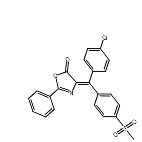 CS(=O)(=O)c1ccc(/C(=C2\N=C(c3ccccc3)OC2=O)c2ccc(Cl)cc2)cc1